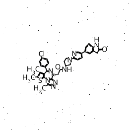 Cc1sc2c(c1C)C(c1ccc(Cl)cc1)=N[C@@H](CC(=O)NC1CCN(c3ccc(-c4ccc5c(c4)CC(=O)N5)cn3)C1)c1nnc(C)n1-2